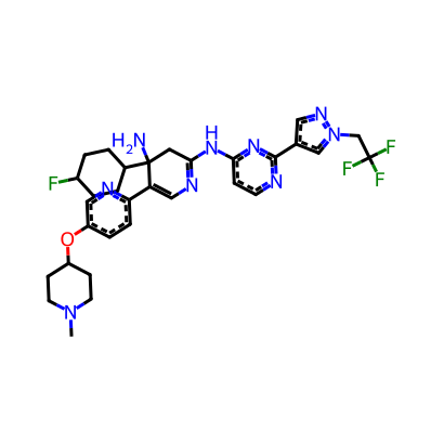 CN1CCC(Oc2ccc(C3=CN=C(Nc4ccnc(-c5cnn(CC(F)(F)F)c5)n4)CC3(N)C3CCC(F)CC3)nc2)CC1